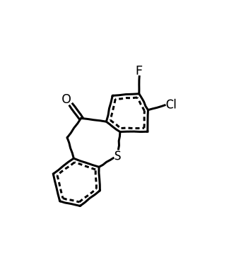 O=C1Cc2ccccc2Sc2cc(Cl)c(F)cc21